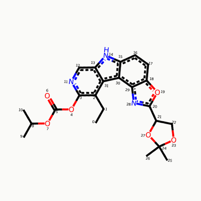 CCc1c(OC(=O)OC(C)C)ncc2[nH]c3ccc4oc(C5COC(C)(C)O5)nc4c3c12